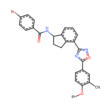 CC(C)Oc1ccc(-c2nc(-c3cccc4c3CCC4NC(=O)c3ccc(Br)cc3)no2)cc1C#N